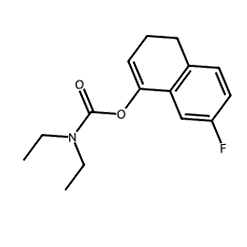 CCN(CC)C(=O)OC1=CCCc2ccc(F)cc21